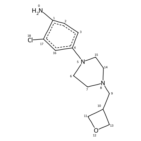 Nc1ccc(N2CCN(CC3COC3)CC2)cc1Cl